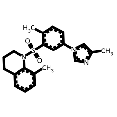 Cc1cn(-c2ccc(C)c(S(=O)(=O)N3CCCc4cccc(C)c43)c2)cn1